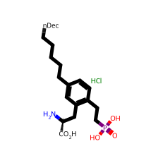 CCCCCCCCCCCCCCCc1ccc(CCP(=O)(O)O)c(C[C@H](N)C(=O)O)c1.Cl